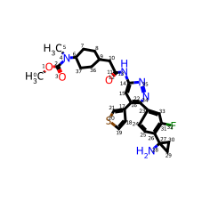 COC(=O)N(C)C1CCC(CC(=O)Nc2cc(-c3ccsc3)c(-c3ccc(C4(N)CC4)c(F)c3)nn2)CC1